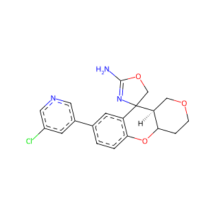 NC1=NC2(CO1)c1cc(-c3cncc(Cl)c3)ccc1OC1CCOC[C@@H]12